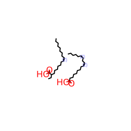 CCCCC/C=C\C/C=C\CCCCCCCC(=O)O.CCCCCCCC/C=C\CCCCCCC(CC)C(=O)O